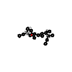 c1ccc(-c2ccc(-c3nc(-c4ccccc4)nc(-c4cc(-c5ccc6c7c(cccc57)-c5ccc(-c7ccc8c(-c9ccc%10oc%11cccc(-c%12nc(-c%13ccccc%13)nc(-c%13ccc(-c%14ccccc%14)cc%13)n%12)c%11c%10c9)ccc9c8c7-c7ccccc7-9)cc5-6)cc5oc6ccccc6c45)n3)cc2)cc1